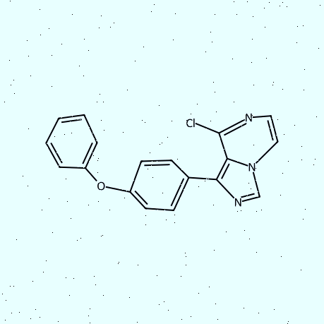 Clc1nccn2cnc(-c3ccc(Oc4ccccc4)cc3)c12